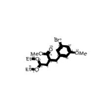 CCOC(CC(Cc1cc(Br)cc(OC)c1)C(=O)OC)OCC